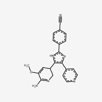 COC1=CC(c2[nH]c(-c3ccc(C#N)cc3)nc2-c2ccncc2)CN=C1N